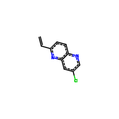 C=Cc1ccc2ncc(Cl)cc2n1